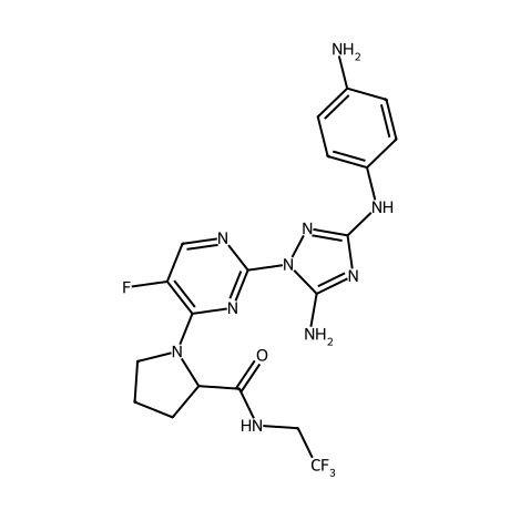 Nc1ccc(Nc2nc(N)n(-c3ncc(F)c(N4CCCC4C(=O)NCC(F)(F)F)n3)n2)cc1